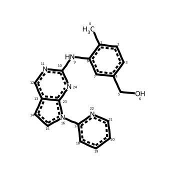 Cc1ccc(CO)cc1Nc1ncc2ccn(-c3ccccn3)c2n1